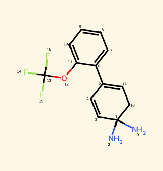 NC1(N)C=CC(c2ccccc2OC(F)(F)F)=CC1